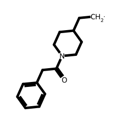 [CH2]CC1CCN(C(=O)Cc2ccccc2)CC1